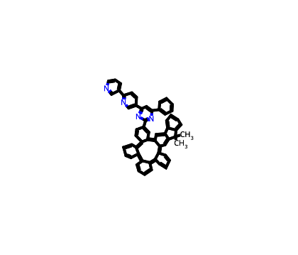 CC1(C)c2ccccc2-c2cc3c4cc(-c5nc(-c6ccccc6)cc(-c6ccc(-c7cccnc7)nc6)n5)ccc4c4ccccc4c4ccccc4c4ccccc4c3cc21